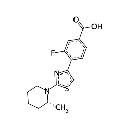 C[C@@H]1CCCCN1c1nc(-c2ccc(C(=O)O)cc2F)cs1